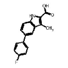 Cc1c(C(=O)O)[nH]c2ccc(-c3ccc(F)cc3)cc12